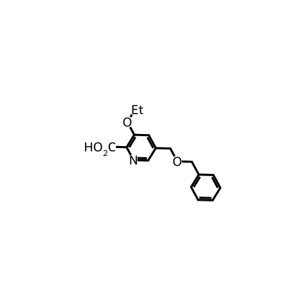 CCOc1cc(COCc2ccccc2)cnc1C(=O)O